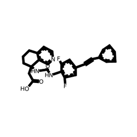 O=C(O)CC1(NC(=O)Nc2c(F)cc(C#Cc3ccccc3)cc2F)CCCc2ccncc21